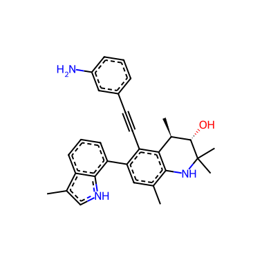 Cc1cc(-c2cccc3c(C)c[nH]c23)c(C#Cc2cccc(N)c2)c2c1NC(C)(C)[C@@H](O)[C@@H]2C